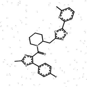 Cc1cccc(-c2nnc(CC3CCCCN3C(=O)c3nc(C)sc3-c3ccc(F)cc3)o2)n1